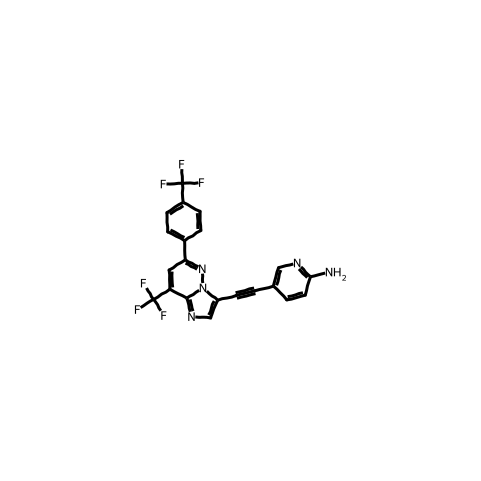 Nc1ccc(C#Cc2cnc3c(C(F)(F)F)cc(-c4ccc(C(F)(F)F)cc4)nn23)cn1